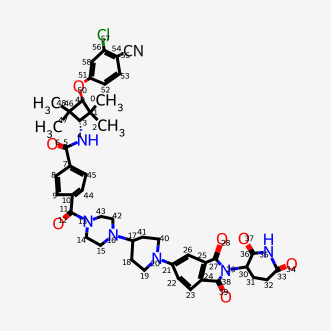 CC1(C)[C@H](NC(=O)c2ccc(C(=O)N3CCN(C4CCN(c5ccc6c(c5)C(=O)N(C5CCC(=O)NC5=O)C6=O)CC4)CC3)cc2)C(C)(C)[C@H]1Oc1ccc(C#N)c(Cl)c1